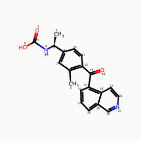 Cc1cc([C@H](C)NC(=O)O)ccc1C(=O)c1cccc2cnccc12